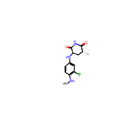 CCCNc1ccc(NC2C[C@@H](C)C(=O)NC2=O)cc1F